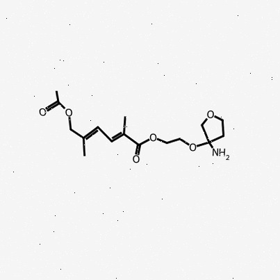 CC(=O)OC/C(C)=C/C=C(\C)C(=O)OCCOC1(N)CCOC1